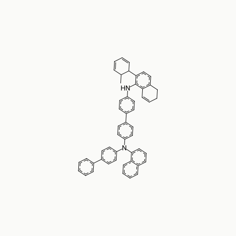 CC1C=CC=CC1c1ccc2c(c1Nc1ccc(-c3ccc(N(c4ccc(-c5ccccc5)cc4)c4cccc5ccccc45)cc3)cc1)C=CCC2